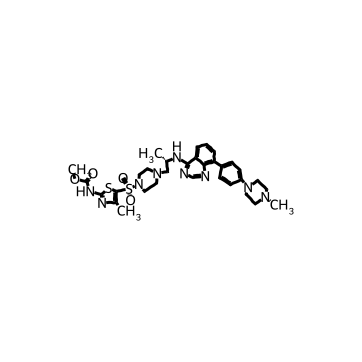 COC(=O)Nc1nc(C)c(S(=O)(=O)N2CCN(C[C@H](C)Nc3ncnc4c(-c5ccc(N6CCN(C)CC6)cc5)cccc34)CC2)s1